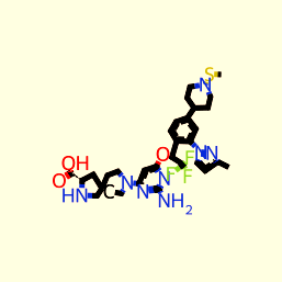 CSN1CCC(c2ccc([C@@H](Oc3cc(N4CCC5(CC4)CN[C@H](C(=O)O)C5)nc(N)n3)C(F)(F)F)c(-n3ccc(C)n3)c2)CC1